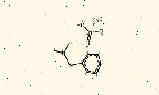 CN(C)Cc1ccccc1.O=[N+]([O-])O.[CaH2]